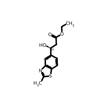 CCOC(=O)C[C@H](O)c1ccc2sc(C)nc2c1